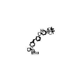 CC(C)(C)OC(=O)N1CCC(=Cc2cccc(Oc3ccc(B4OC(C)(C)C(C)(C)O4)cn3)c2)CC1